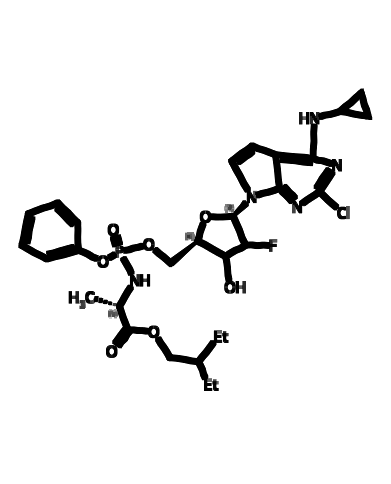 CCC(CC)COC(=O)[C@H](C)NP(=O)(OC[C@H]1O[C@@H](n2ccc3c(NC4CC4)nc(Cl)nc32)C(F)C1O)Oc1ccccc1